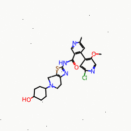 COc1cnc(Cl)cc1-c1cc(C)ncc1C(=O)Nc1nc2c(s1)CN(C1CCC(O)CC1)CC2